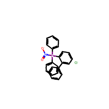 O=[N+]([O-])[P+](c1ccccc1)(c1ccccc1)c1ccccc1-c1ccccc1.[Cl-]